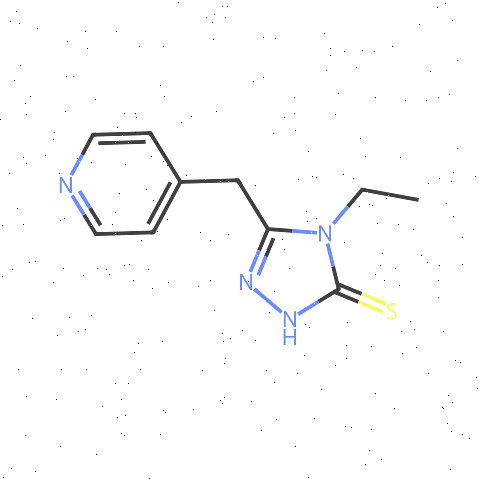 CCn1c(Cc2ccncc2)n[nH]c1=S